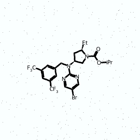 CC[C@@H]1C[C@H](N(Cc2cc(C(F)(F)F)cc(C(F)(F)F)c2)c2ncc(Br)cn2)CN1C(=O)OC(C)C